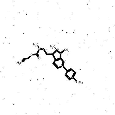 C=CCOC(=O)N(C)CCC1c2ccc(-c3ccc(OC)cc3)cc2C(C)[C@H]1C